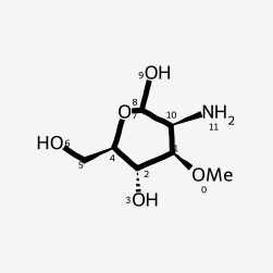 CO[C@H]1[C@H](O)[C@@H](CO)OC(O)[C@H]1N